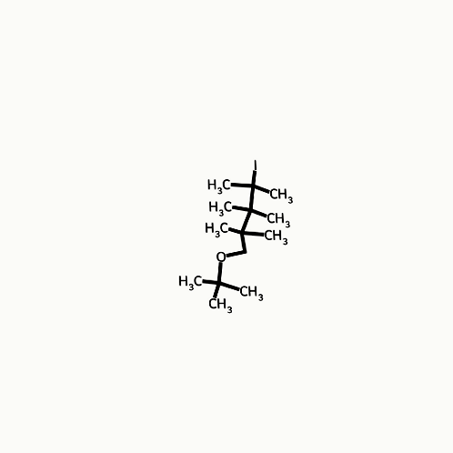 CC(C)(C)OCC(C)(C)C(C)(C)C(C)(C)I